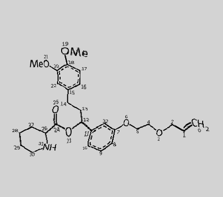 C=CCOCCOc1cccc(C(CCc2ccc(OC)c(OC)c2)OC(=O)C2CCCCN2)c1